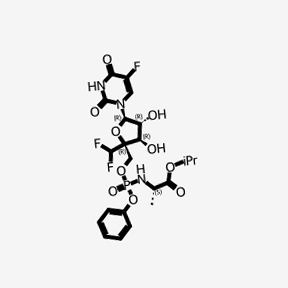 CC(C)OC(=O)[C@H](C)NP(=O)(OC[C@@]1(C(F)F)O[C@@H](n2cc(F)c(=O)[nH]c2=O)[C@H](O)[C@H]1O)Oc1ccccc1